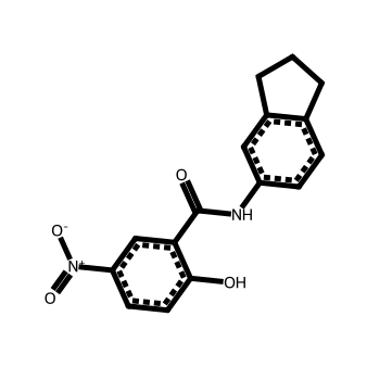 O=C(Nc1ccc2c(c1)CCC2)c1cc([N+](=O)[O-])ccc1O